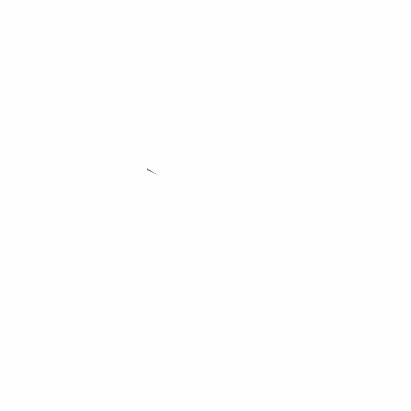 CC(C)=CCCC1=CC[C@@H](CC(C)(C)O)CC1